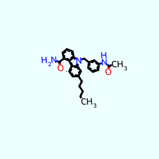 CCCCCc1c[c]c2c3c(C(N)=O)cccc3n(Cc3cccc(NC(C)=O)c3)c2c1